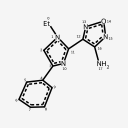 CCn1cc(-c2ccccc2)nc1-c1nonc1N